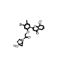 Cc1cc(-c2cc(=O)c3cccc(Cl)c3o2)c(OCC(=O)N2CC[C@]3(O)CC23)cc1Br